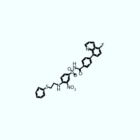 O=C(NS(=O)(=O)c1ccc(NCCSc2ccccc2)c([N+](=O)[O-])c1)c1ccc(-c2ccc(F)c3cccnc23)cc1